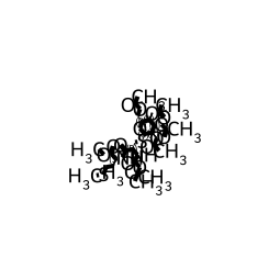 COC(=O)[C@H](CCSC)NC(=O)[C@H](CS[C@@H]1O[C@H](COC(C)=O)[C@@H](OC(C)=O)[C@H](OC(C)=O)[C@H]1OC(C)=O)NC(=O)OC(C)(C)C